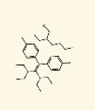 CCCCC(CC)C[O-].CCN(CC)C(N(CC)CC)=[N+](c1ccc(C)cc1)c1ccc(C)cc1